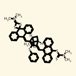 CN(C)C(=S)Sc1c2ccccc2c(C=C2C(Sc3ccccc3)=C(C=C3c4ccccc4C4(SC(=[N+](C)C)S4)c4ccccc43)[C@@H]3C[C@H]2C3(C)C)c2ccccc12